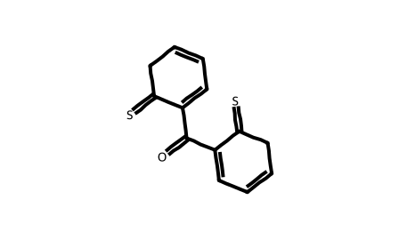 O=C(C1=CC=CCC1=S)C1=CC=CCC1=S